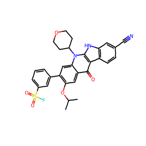 CC(C)Oc1cc2c(=O)c3c4ccc(C#N)cc4[nH]c3n(C3CCOCC3)c2cc1-c1cccc(S(=O)(=O)F)c1